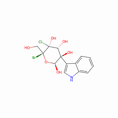 OC[C@@]1(Br)O[C@H](O)[C@@](O)(c2c[nH]c3ccccc23)[C@@H](O)[C@]1(O)Cl